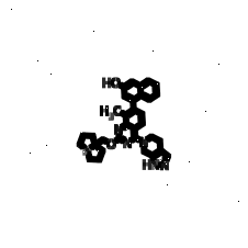 Cc1c(-c2cc(O)cc3ccccc23)ccc2c(N3CCc4cn[nH]c4C3)nc(OCC34CCCN3CCC4)nc12